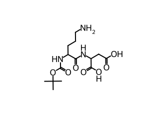 CC(C)(C)OC(=O)NC(CCCN)C(=O)NC(CC(=O)O)C(=O)O